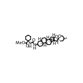 COC(=O)C1(NC(=O)N[C@@H]2CC[C@@]3(C)[C@H](CC[C@@H]4[C@@H]3CC[C@]3(C)[C@@H]5[C@H](C[C@@H]43)O[C@]3(CC[C@H](C)CO3)[C@H]5C)C2)CCCCC1